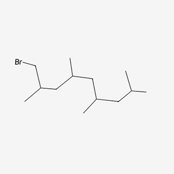 CC(C)CC(C)CC(C)CC(C)CBr